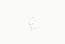 O=C(NO)c1ccc(NC(=O)c2cccc3ccccc23)s1